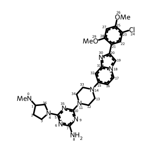 CNC1CCN(c2nc(N)nc(N3CCN(c4ccn5cc(-c6cc(Cl)c(OC)cc6OC)nc5c4)CC3)n2)C1